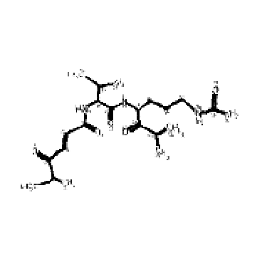 CC(C)C(=O)CCC(=O)NC(C(=O)N[C@@H](CCCNC(N)=O)C(=O)C(C)C)C(C)C